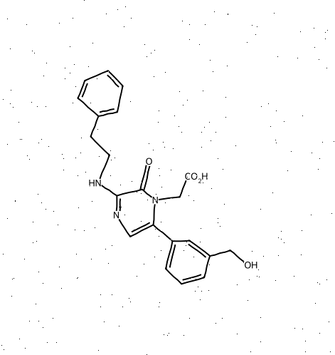 O=C(O)Cn1c(-c2cccc(CO)c2)cnc(NCCc2ccccc2)c1=O